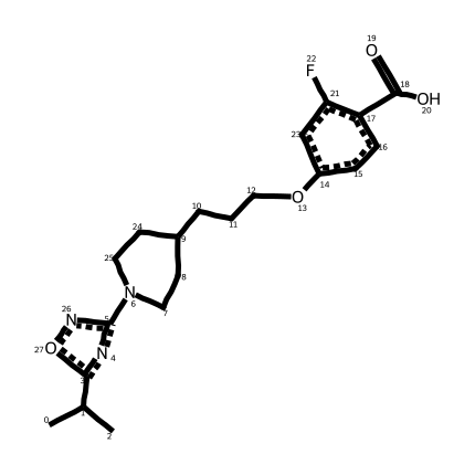 CC(C)c1nc(N2CCC(CCCOc3ccc(C(=O)O)c(F)c3)CC2)no1